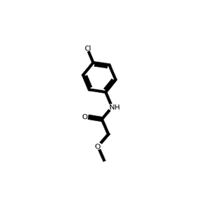 CO[CH]C(=O)Nc1ccc(Cl)cc1